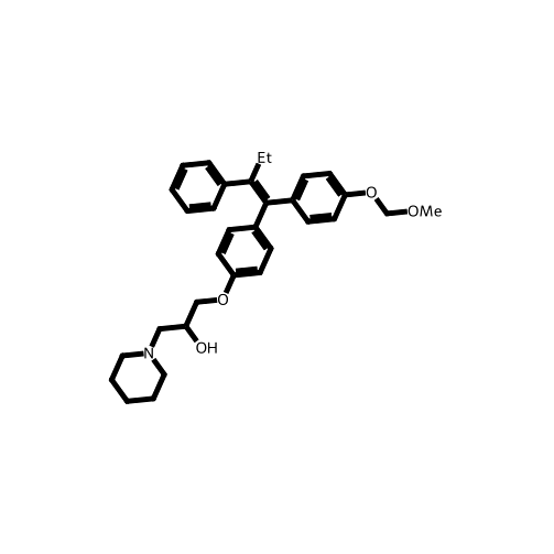 CC/C(=C(\c1ccc(OCOC)cc1)c1ccc(OCC(O)CN2CCCCC2)cc1)c1ccccc1